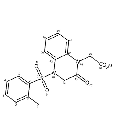 Cc1ccccc1S(=O)(=O)N1CC(=O)N(CC(=O)O)c2ccccc21